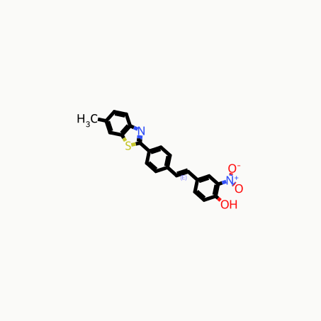 Cc1ccc2nc(-c3ccc(/C=C/c4ccc(O)c([N+](=O)[O-])c4)cc3)sc2c1